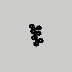 C1=CC(n2c3ccccc3c3c2ccc2c4ccccc4n(-c4ccccc4)c23)=NC(n2c3ccccc3c3ccccc32)C1